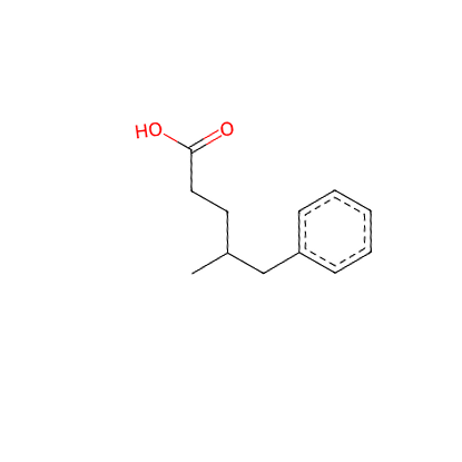 CC(CCC(=O)O)Cc1ccccc1